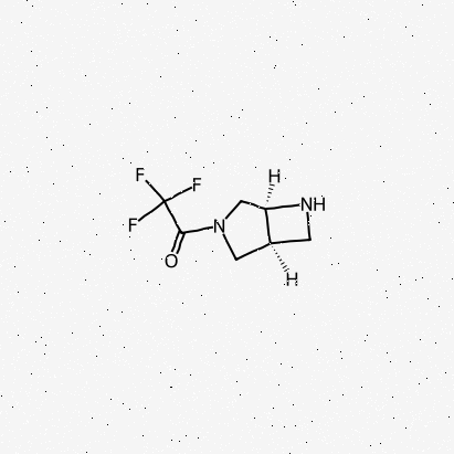 O=C(N1C[C@@H]2CN[C@@H]2C1)C(F)(F)F